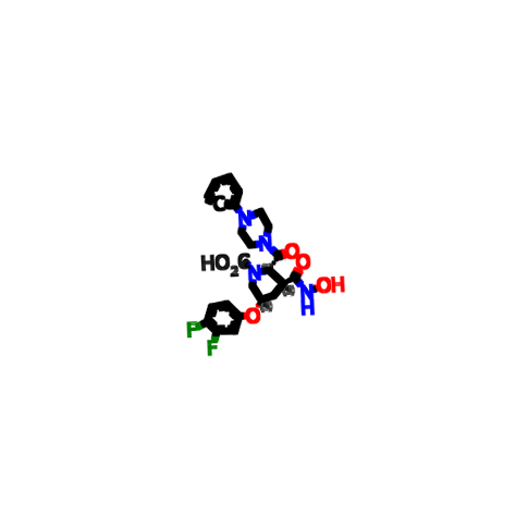 O=C(NO)[C@H]1C[C@H](Oc2ccc(F)c(F)c2)CN(C(=O)O)[C@@H]1C(=O)N1CCN(c2ccccc2)CC1